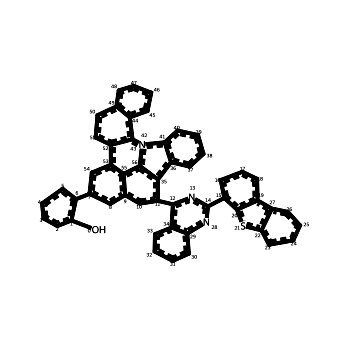 Oc1ccccc1-c1cc2cc(-c3nc(-c4cccc5c4sc4ccccc45)nc4ccccc34)c3c4ccccc4n4c5c6ccccc6ccc5c(c1)c2c34